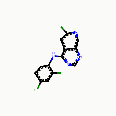 Clc1ccc(Nc2ncnc3cnc(Cl)cc23)c(Cl)c1